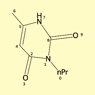 CCCn1c(=O)cc(C)[nH]c1=O